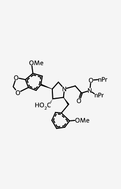 CCCON(CCC)C(=O)CN1C[C@H](c2cc(OC)c3c(c2)OCO3)[C@@H](C(=O)O)[C@@H]1Cc1ccccc1OC